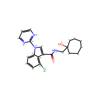 O=C(NCC1(O)CCCCCC1)c1cn(-c2ncccn2)c2cccc(Cl)c12